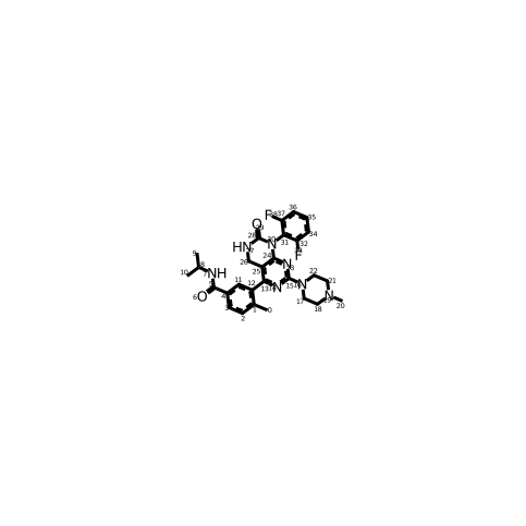 Cc1ccc(C(=O)NC(C)C)cc1-c1nc(N2CCN(C)CC2)nc2c1CNC(=O)N2c1c(F)cccc1F